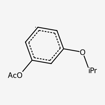 CC(=O)Oc1c[c]cc(OC(C)C)c1